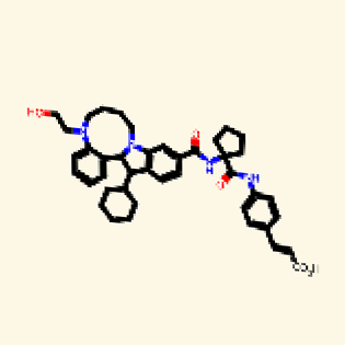 O=C(O)/C=C/c1ccc(NC(=O)C2(NC(=O)c3ccc4c(c3)N3CCCCN(CCO)c5ccccc5C3C4C3CCCCC3)CCCC2)cc1